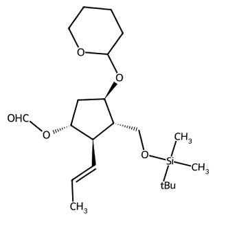 CC=C[C@@H]1[C@@H](CO[Si](C)(C)C(C)(C)C)[C@H](OC2CCCCO2)C[C@H]1OC=O